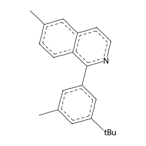 Cc1cc(-c2nccc3cc(C)ccc23)cc(C(C)(C)C)c1